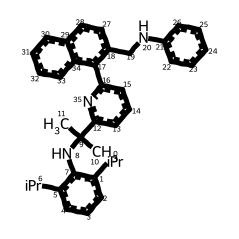 CC(C)c1cccc(C(C)C)c1NC(C)(C)c1cccc(-c2c(CNc3ccccc3)ccc3ccccc23)n1